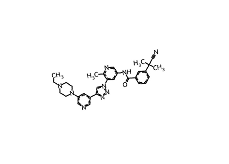 CCN1CCN(c2cncc(-c3cn(-c4cc(NC(=O)c5cccc(C(C)(C)C#N)c5)cnc4C)nn3)c2)CC1